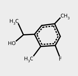 Cc1cc(F)c(C)c(C(C)O)c1